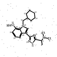 CCN(CC)C(C)c1nc(-c2cn(CC3CCCCC3)c3c(OC)cccc23)ns1